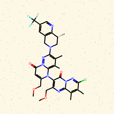 COCc1nc2c(C)c(C)c(Cl)nn2c(=O)c1-n1c(COC)cc(=O)[n+]2nc(N3Cc4cc(C(F)(F)F)cnc4[C@H](C)C3)c(C)c(C)c12